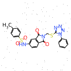 Cc1ccc(S(=O)(=O)Nc2ccc3c(c2)C(=O)N(CSc2nnnn2-c2ccccc2)C3=O)cc1